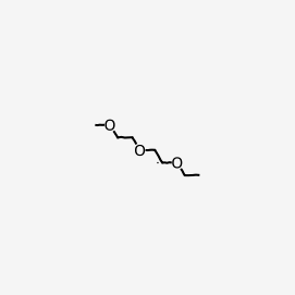 CCO[CH]COCCOC